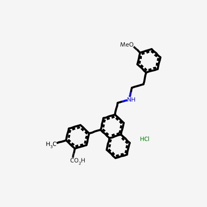 COc1cccc(CCNCc2cc(-c3ccc(C)c(C(=O)O)c3)c3ccccc3c2)c1.Cl